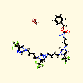 O=C(NCCCn1cc(C(F)(F)F)[n+](CCCC[n+]2cc(C(F)(F)F)n(CCCCn3cnc(C(F)(F)F)c3)c2)c1)OCc1ccccc1.[Br-].[Br-]